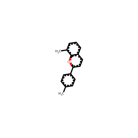 Cc1ccc(-c2ccc3cccc(C)c3[o+]2)cc1